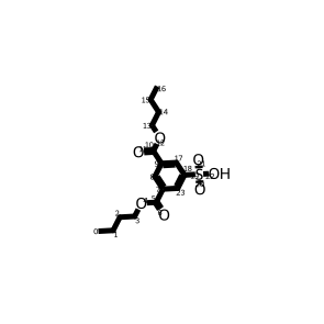 CCCCOC(=O)c1cc(C(=O)OCCCC)cc(S(=O)(=O)O)c1